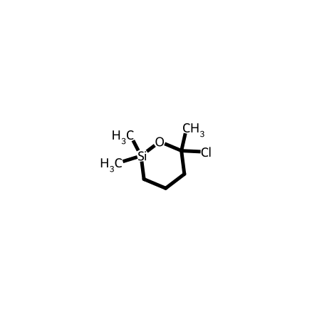 CC1(Cl)CCC[Si](C)(C)O1